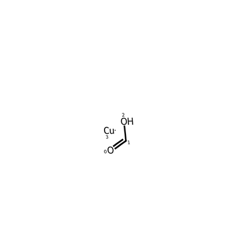 O=CO.[Cu]